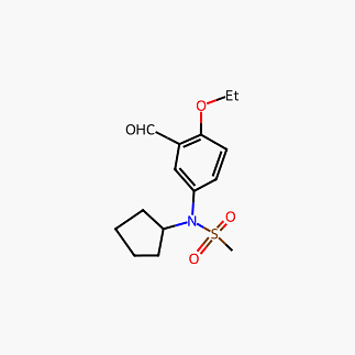 CCOc1ccc(N(C2CCCC2)S(C)(=O)=O)cc1C=O